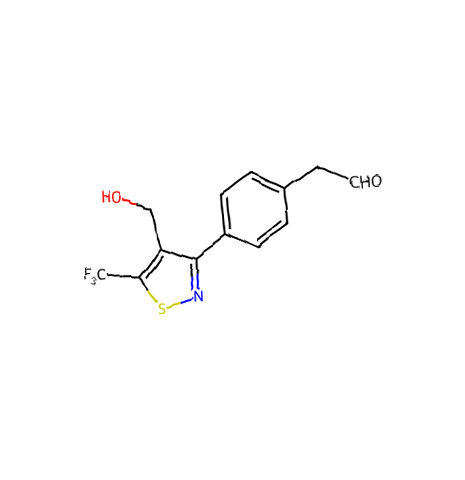 O=CCc1ccc(-c2nsc(C(F)(F)F)c2CO)cc1